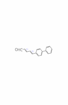 O=C/C=C/C=C/c1ccc(-c2ccccc2)cc1